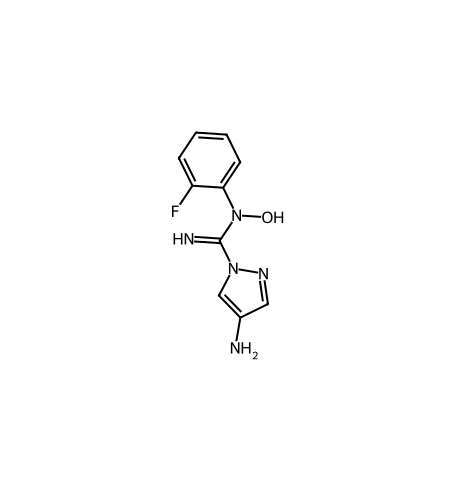 N=C(N(O)c1ccccc1F)n1cc(N)cn1